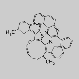 C=C1CC/C=C\Cc2c(sc3ccc4c(c23)CC(C)C=C4)-c2c1c1ccccc1n2-c1nc2c(ccc3ccccc32)nc1-c1ccccc1